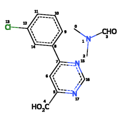 CN(C)C=O.O=C(O)c1cc(-c2cccc(Cl)c2)ncn1